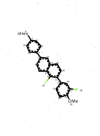 CCCCCCc1ccc(-c2ccc3c(F)c(-c4ccc(OC)c(F)c4)ccc3c2)cc1